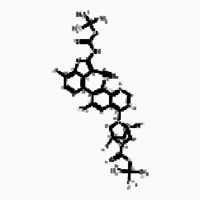 CC(C)(C)OC(=O)Nc1sc2c(F)ccc(-c3c(Cl)cc4c(N5C[C@@H]6C[C@H]5CN6C(=O)OC(C)(C)C)ncnc4c3F)c2c1C#N